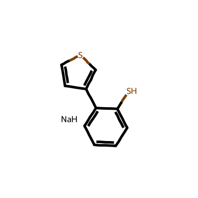 Sc1ccccc1-c1ccsc1.[NaH]